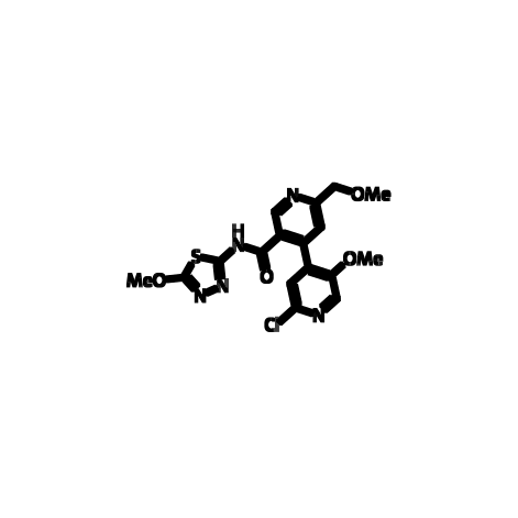 COCc1cc(-c2cc(Cl)ncc2OC)c(C(=O)Nc2nnc(OC)s2)cn1